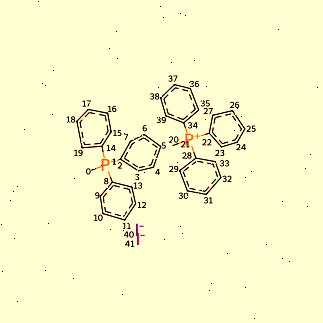 C[P+](c1ccccc1)(c1ccccc1)c1ccccc1.C[P+](c1ccccc1)(c1ccccc1)c1ccccc1.[I-].[I-]